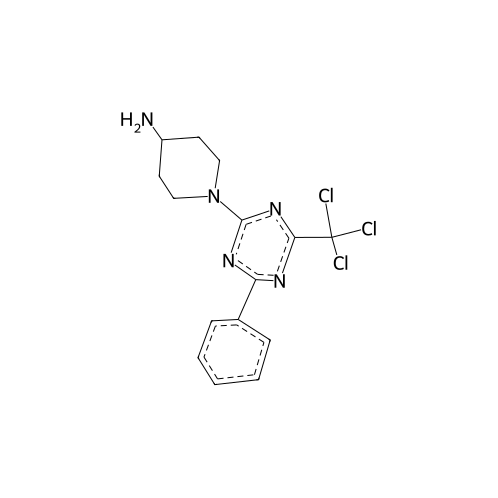 NC1CCN(c2nc(-c3ccccc3)nc(C(Cl)(Cl)Cl)n2)CC1